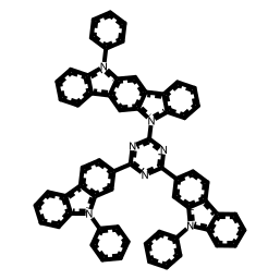 c1ccc(-n2c3ccccc3c3ccc(-c4nc(-c5ccc6c7ccccc7n(-c7ccccc7)c6c5)nc(-n5c6ccccc6c6cc7c(cc65)c5ccccc5n7-c5ccccc5)n4)cc32)cc1